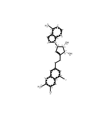 Nc1nc2cc(CCC3=C[C@@H](n4ncc5c(N)ncnc54)[C@H](O)[C@@H]3O)cc(F)c2cc1Cl